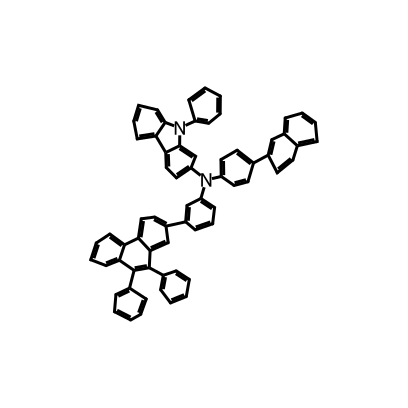 c1ccc(-c2c(-c3ccccc3)c3cc(-c4cccc(N(c5ccc(-c6ccc7ccccc7c6)cc5)c5ccc6c7ccccc7n(-c7ccccc7)c6c5)c4)ccc3c3ccccc23)cc1